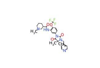 CN1CCCC(C(=O)Nc2cc(N3C(=O)N(Cc4ccncc4)C(C)(C)C3=O)ccc2OC(F)(F)F)C1